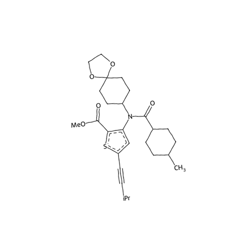 COC(=O)c1sc(C#CC(C)C)cc1N(C(=O)C1CCC(C)CC1)C1CCC2(CC1)OCCO2